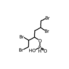 O=[PH](O)OC(CC(Br)CBr)C(Br)CBr